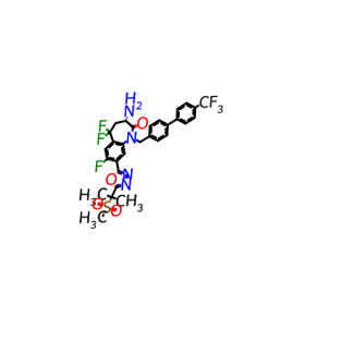 CC(C)(c1nnc(-c2cc3c(cc2F)C(F)(F)C[C@H](N)C(=O)N3Cc2ccc(-c3ccc(C(F)(F)F)cc3)cc2)o1)S(C)(=O)=O